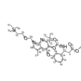 COC(=O)CC(NC(=O)OC(C)(C)C)c1cccc(Oc2ccnc3c2c(C)cn3COCC[Si](C)(C)C)c1